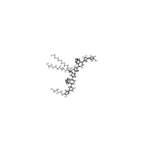 CCCCCCCCCCCC[Si]1(CCCCCCCCCCCC)c2cc(-c3ccc(-c4ccc(-c5ccc(C)s5)s4)c4nnsc34)sc2-c2sc(-c3ccc(-c4ccc(-c5ccc(CCCCCC)s5)s4)c4nnsc34)cc21